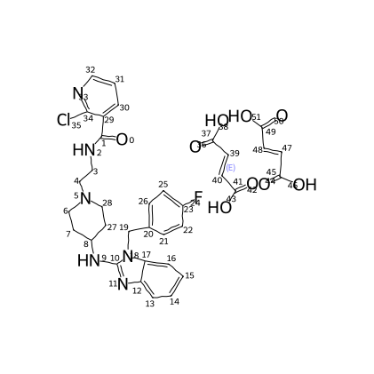 O=C(NCCN1CCC(Nc2nc3ccccc3n2Cc2ccc(F)cc2)CC1)c1cccnc1Cl.O=C(O)/C=C/C(=O)O.O=C(O)C=CC(=O)O